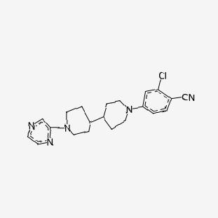 N#Cc1ccc(N2CCC(C3CCN(c4cnccn4)CC3)CC2)cc1Cl